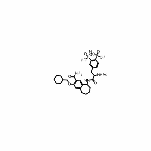 CC(=O)NC(Cc1ccc(P(=O)(O)O)c(P(=O)(O)O)c1)C(=O)NC1CCCCc2cc(OCC3CCCCC3)c(C(N)=O)cc21